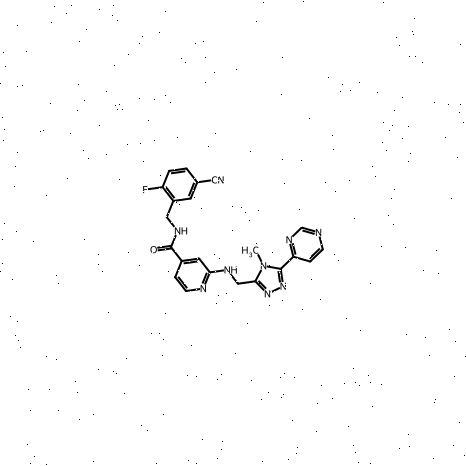 Cn1c(CNc2cc(C(=O)NCc3cc(C#N)ccc3F)ccn2)nnc1-c1ccncn1